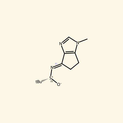 Cn1cnc2c1CC/C2=N\[S@+]([O-])C(C)(C)C